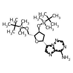 CC(C)(C)[Si](C)(C)OC[C@H]1O[C@@H](c2cnc3c(N)ncnn23)C[C@@H]1O[Si](C)(C)C(C)(C)C